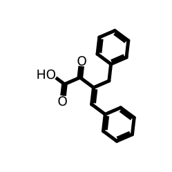 O=C(O)C(=O)/C(=C/c1ccccc1)Cc1ccccc1